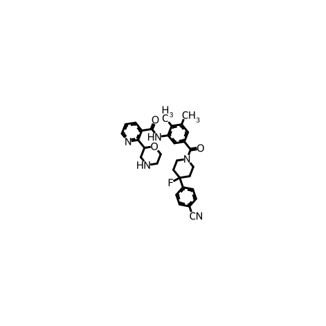 Cc1cc(C(=O)N2CCC(F)(c3ccc(C#N)cc3)CC2)cc(NC(=O)c2cccnc2C2CNCCO2)c1C